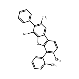 Cc1cc2c(oc3c(-c4cccc[n+]4C)c(C)ccc32)c(C#N)c1-c1ccccc1